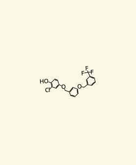 Oc1ccc(OCc2cccc(OCc3cccc(C(F)(F)F)c3)c2)cc1Cl